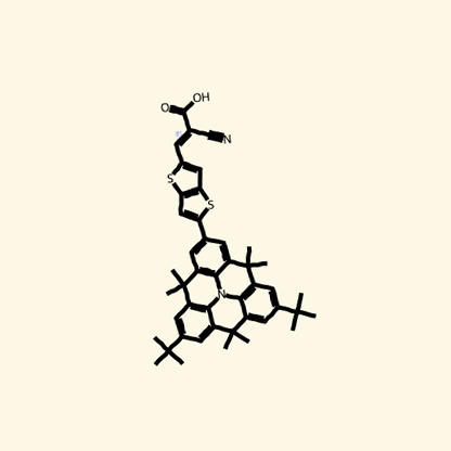 CC(C)(C)c1cc2c3c(c1)C(C)(C)c1cc(C(C)(C)C)cc4c1N3c1c(cc(-c3cc5sc(/C=C(\C#N)C(=O)O)cc5s3)cc1C4(C)C)C2(C)C